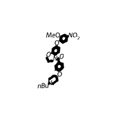 CCCCN1CCC(Oc2ccc(C(=O)N3CCCOc4cc(Oc5ccc([N+](=O)[O-])cc5OC)ccc43)cc2)CC1